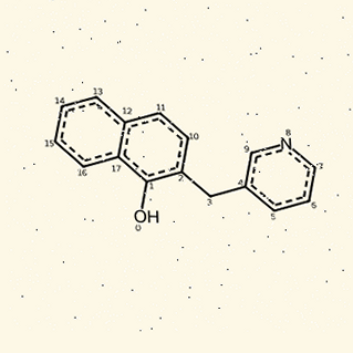 Oc1c(Cc2cccnc2)ccc2ccccc12